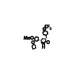 COc1ccc([C@H]2CNC(=O)[C@@H](Cc3ccc(OC(F)(F)F)cc3)C2)cc1OC1CCCC1